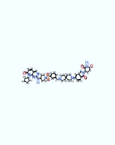 O=C1CCC(N2Cc3cc(N4CCC5(CCN(Cc6cccc(S(=O)(=O)N7CCC(Nc8ncc9ccc(=O)n(C%10CCCC%10)c9n8)CC7)c6)CC5)CC4)ccc3C2=O)C(=O)N1